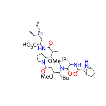 C=C/C=C(\C=C)CC(NC(=O)C(C)C(OC)C1CCCN1C(=O)CC(OC)C(C(C)CC)N(C)C(=O)C(NC(=O)C1NC2CCC1C2)C(C)C)C(=O)O